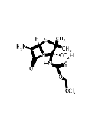 CC1(C)S[C@@H]2[C@H](N)C(=O)N2[C@@]1(NC(=O)OCC(Cl)(Cl)Cl)C(=O)O